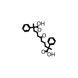 CC(CCCC(=O)CCCC(C)(C(=O)O)c1ccccc1)(C(=O)O)c1ccccc1